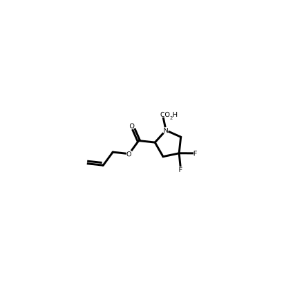 C=CCOC(=O)C1CC(F)(F)CN1C(=O)O